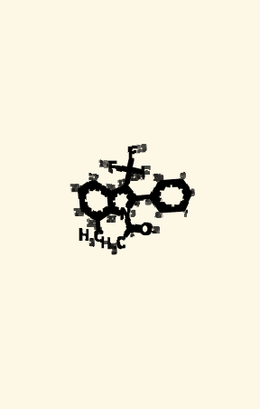 CC(=O)n1c(-c2ccccc2)c(C(F)(F)F)c2cccc(C)c21